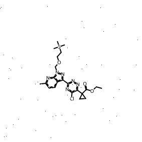 CCOC(=O)C1(c2nnc(-c3nn(COCCS(C)(C)C)c4nc(C)ccc34)nc2Cl)CC1